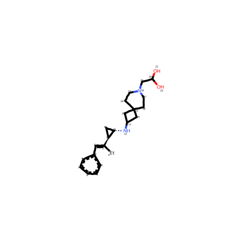 CC/C(=C\c1ccccc1)[C@H]1C[C@@H]1NC1CC2(CCN(CC(O)O)CC2)C1